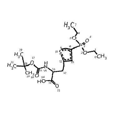 CCOP(=O)(OCC)c1csc(CC(NC(=O)OC(C)(C)C)C(=O)O)c1